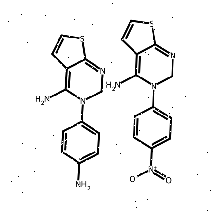 NC1=c2ccsc2=NCN1c1ccc(N)cc1.NC1=c2ccsc2=NCN1c1ccc([N+](=O)[O-])cc1